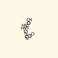 N#Cc1cccc(NC(=S)NC2CCN(c3ccnc4ccc(Cl)cc34)CC2)c1